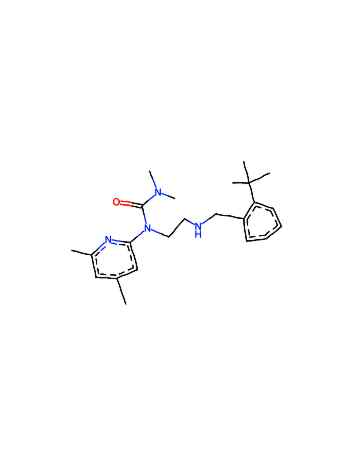 Cc1cc(C)nc(N(CCNCc2ccccc2C(C)(C)C)C(=O)N(C)C)c1